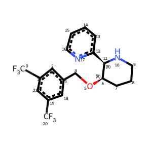 FC(F)(F)c1cc(CO[C@@H]2CCCN[C@@H]2c2ccccn2)cc(C(F)(F)F)c1